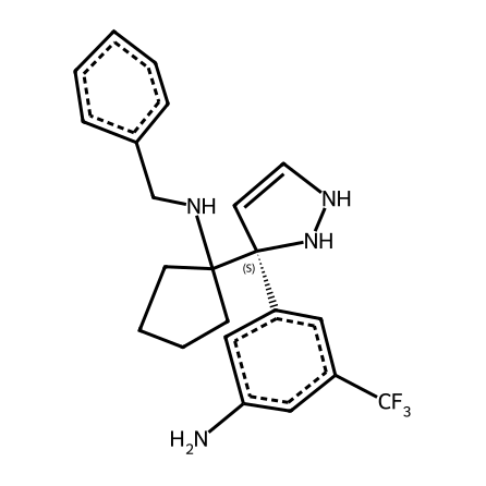 Nc1cc(C(F)(F)F)cc([C@]2(C3(NCc4ccccc4)CCCC3)C=CNN2)c1